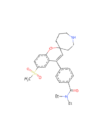 CCN(CC)C(=O)c1ccc(C2=CC3(CCCNCC3)Oc3ccc(S(C)(=O)=O)cc32)cc1